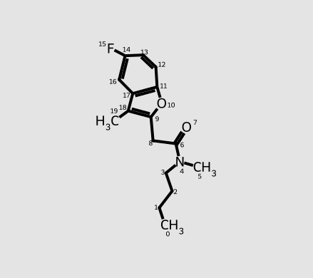 CCCCN(C)C(=O)Cc1oc2ccc(F)cc2c1C